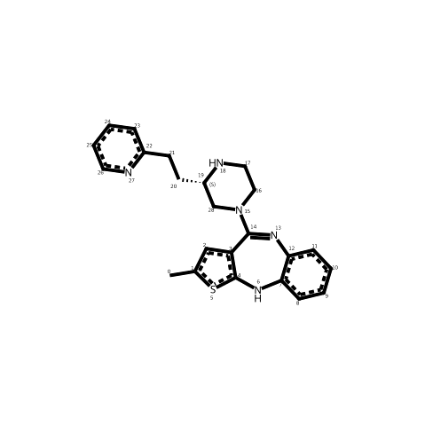 Cc1cc2c(s1)Nc1ccccc1N=C2N1CCN[C@@H](CCc2ccccn2)C1